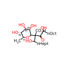 CCCCCCCCC(O)C(=O)C(C(=O)O)(C(O)CCCCCCC)C1O[C@@H](C)[C@H](O)[C@@H](O)[C@H]1O